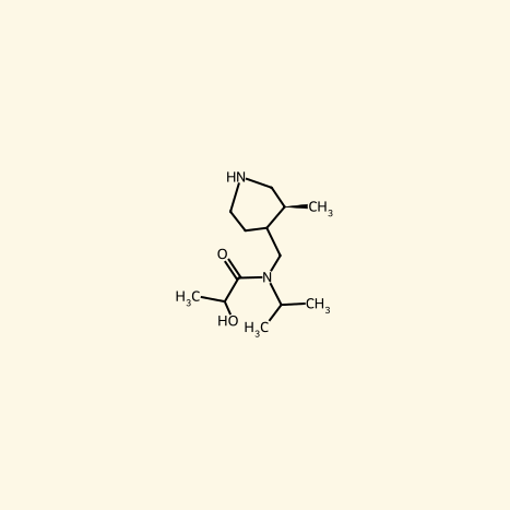 CC(O)C(=O)N(CC1CCNC[C@H]1C)C(C)C